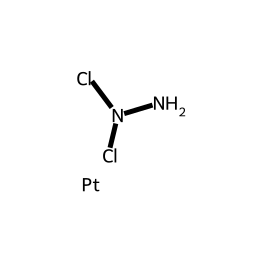 NN(Cl)Cl.[Pt]